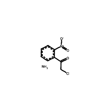 N.O=C(CCl)c1ccccc1[N+](=O)[O-]